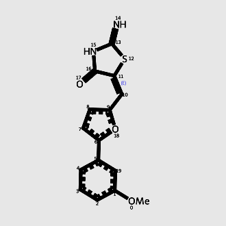 COc1cccc(-c2ccc(/C=C3/SC(=N)NC3=O)o2)c1